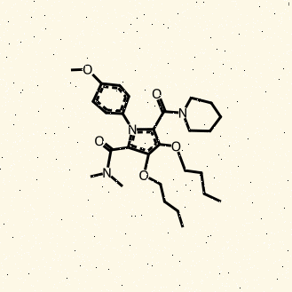 CCCCOc1c(OCCCC)c(C(=O)N2CCCCC2)n(-c2ccc(OC)cc2)c1C(=O)N(C)C